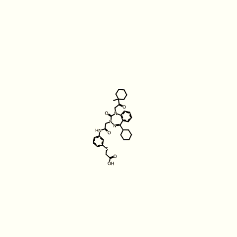 CC1(C(=O)CN2C(=O)N(CC(=O)Nc3cccc(SCC(=O)O)c3)N=C(C3CCCCC3)c3ccccc32)CCCCC1